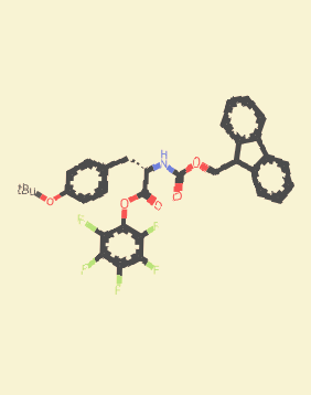 CC(C)(C)Oc1ccc(C[C@H](NC(=O)OCC2c3ccccc3-c3ccccc32)C(=O)Oc2c(F)c(F)c(F)c(F)c2F)cc1